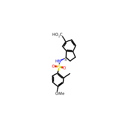 COc1ccc(S(=O)(=O)N[C@@H]2CCc3ccc(C(=O)O)cc32)c(C)c1